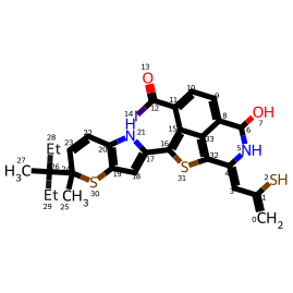 C=C(S)/C=C1\NC(O)c2ccc(C(=O)I)c3c(-c4cc5c([nH]4)C=CC(C)(C(C)(CC)CC)S5)sc1c23